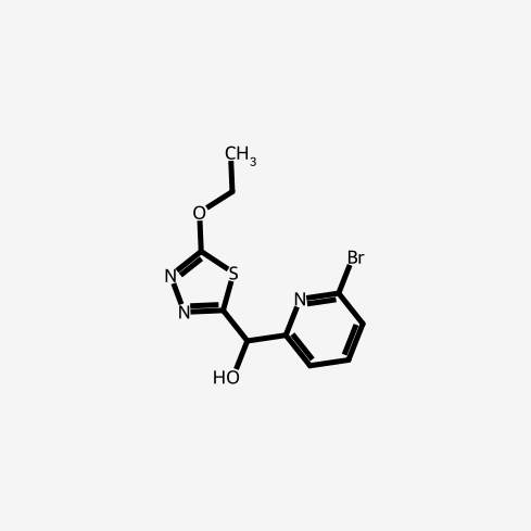 CCOc1nnc(C(O)c2cccc(Br)n2)s1